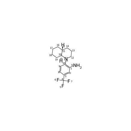 Nc1cc(C(F)(F)F)ccc1N1CCC[C@H]2CCCC[C@@H]21